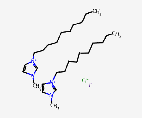 CCCCCCCCCC[n+]1ccn(C)c1.CCCCCCCCCC[n+]1ccn(C)c1.[Cl-].[I-]